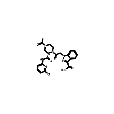 CC(=O)N1CCN(C(=O)Cn2nc(C(N)=O)c3ccccc32)[C@H](C(=O)Nc2cccc(Cl)n2)C1